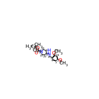 COc1ccc(CNC2CCN(C(=O)OC(C)(C)C)CC2)c(OC)c1